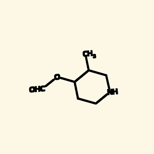 CC1CNCCC1OC=O